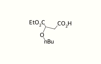 CCCCOC(CC(=O)O)C(=O)OCC